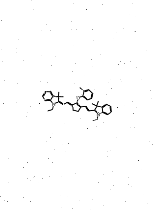 CCN1/C(=C/C=C2\CCC(/C=C/C3=[N+](CC)c4ccccc4C3(C)C)=C2Oc2ccccc2C)C(C)(C)c2ccccc21